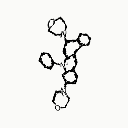 c1ccc(-[n+]2c3cc(N4CCOCC4)ccc3cc3c4ccccc4c(N4CCOCC4)cc32)cc1